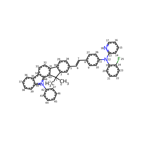 CC1(C)c2cc(/C=C/c3ccc(N(c4ccccn4)c4ccccc4F)cc3)ccc2-c2ccc3c4ccccc4n(-c4ccccc4)c3c21